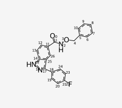 O=C(NOCc1ccccc1)c1ccc2[nH]nc(-c3ccc(F)cc3)c2c1